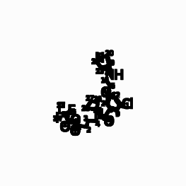 O=C(CCCN(C(=O)c1cc(Cl)cc(OCCNc2ccncc2)c1)C1CCC1)OC(=O)C(F)(F)F